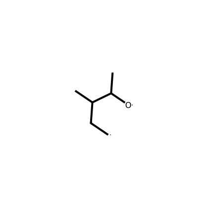 [CH2]CC(C)C(C)[O]